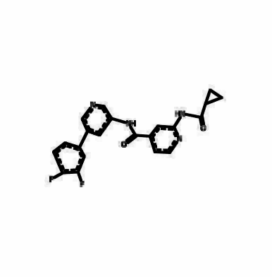 O=C(Nc1cncc(-c2ccc(F)c(F)c2)c1)c1ccnc(NC(=O)C2CC2)c1